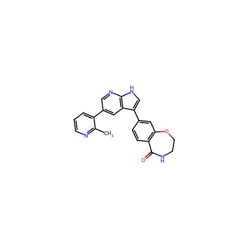 Cc1ncccc1-c1cnc2[nH]cc(-c3ccc4c(c3)OCCNC4=O)c2c1